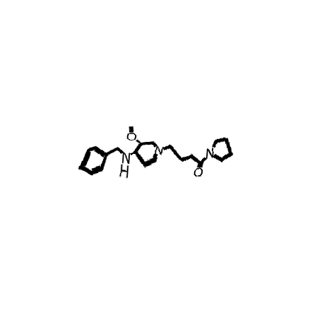 CO[C@H]1CN(CCCC(=O)N2CCCC2)CC[C@H]1NCc1ccccc1